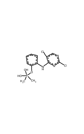 CP(C)(O)(O)Oc1ccccc1Nc1nc(Cl)ncc1Cl